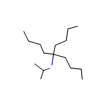 CCCCC(CCCC)(CCCC)NC(C)C